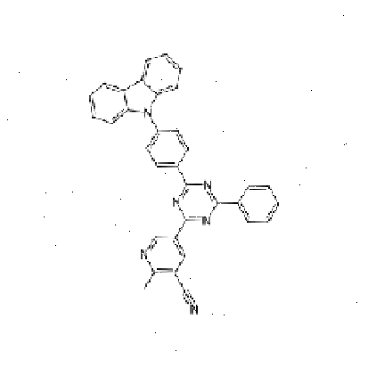 Cc1ncc(-c2nc(-c3ccccc3)nc(-c3ccc(-n4c5ccccc5c5ccccc54)cc3)n2)cc1C#N